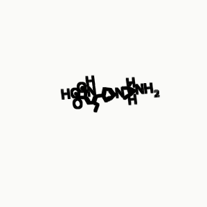 CCc1cc(C(=O)O)c(=O)[nH]c1-c1ccc(N2C[C@@H]3[C@@H](N)[C@@H]3C2)cc1